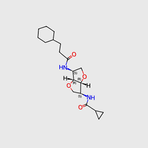 O=C(CCC1CCCCC1)N[C@H]1CO[C@H]2[C@@H]1OC[C@@H]2NC(=O)C1CC1